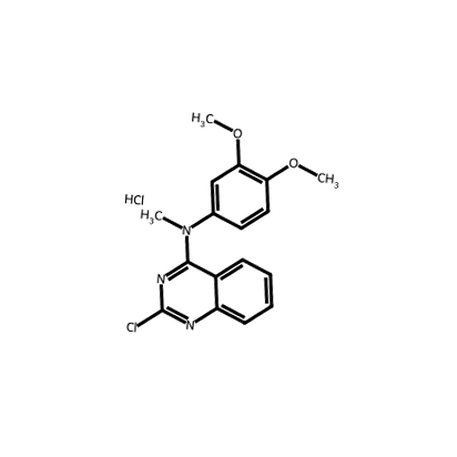 COc1ccc(N(C)c2nc(Cl)nc3ccccc23)cc1OC.Cl